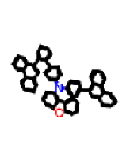 c1ccc2c(c#1)c(-c1ccc(N(c3ccc(-c4ccccc4-c4cc5ccccc5c5ccccc45)cc3)c3cccc4oc5ccccc5c34)cc1)cc1ccccc12